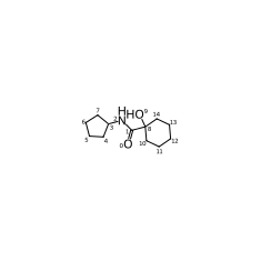 O=C(NC1CCCC1)C1(O)CCCCC1